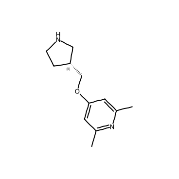 Cc1cc(OC[C@@H]2CCNC2)cc(C)n1